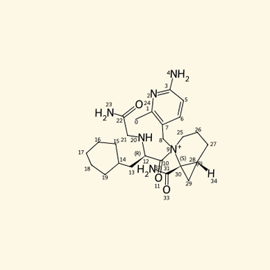 Cc1nc(N)ccc1C[N+]1(C(=O)[C@@H](CC2CCCCC2)NCC(N)=O)CCC[C@@H]2C[C@@]21C(N)=O